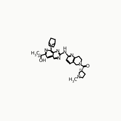 C[C@@H](O)c1cc2cnc(Nc3ccc4c(n3)CCN(C(=O)[C@H]3CCN(C)C3)C4)nc2c(N2C3CCC2CC3)n1